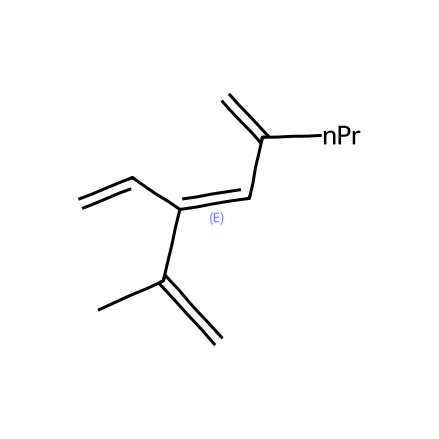 C=C/C(=C\C(=C)CCC)C(=C)C